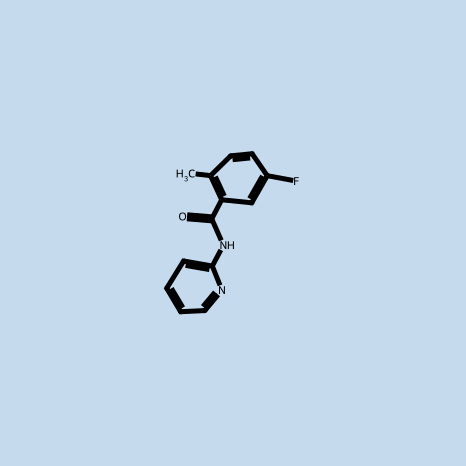 Cc1ccc(F)cc1C(=O)Nc1ccccn1